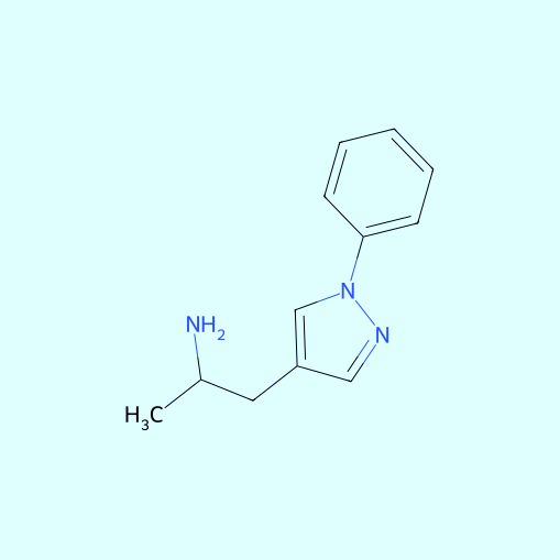 CC(N)Cc1cnn(-c2ccccc2)c1